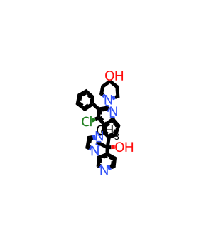 Cn1ccnc1C(O)(c1ccncc1)c1ccc2nc(N3CCC(O)CC3)c(-c3ccccc3)c(Cl)c2c1